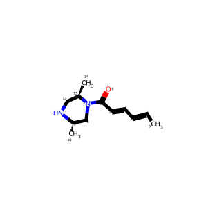 C/C=C/C=C/C(=O)N1C[C@H](C)NC[C@H]1C